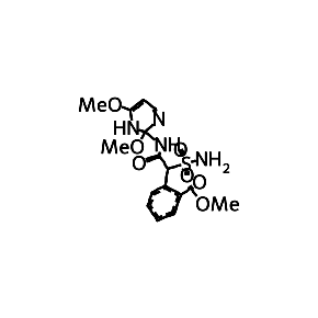 COC(=O)c1ccccc1C(C(=O)NC1(OC)N=CC=C(OC)N1)S(N)(=O)=O